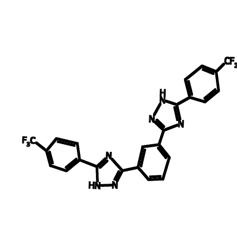 FC(F)(F)c1ccc(-c2nc(-c3cccc(-c4n[nH]c(-c5ccc(C(F)(F)F)cc5)n4)c3)n[nH]2)cc1